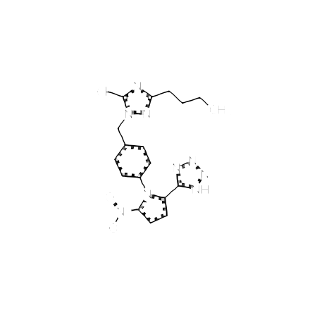 CCCCc1nc(Cl)n(Cc2ccc(-n3c(-c4nnn[nH]4)ccc3[N+](=O)[O-])cc2)n1